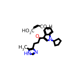 Cc1[nH]cnc1CCC(=O)c1cn(C2CCCC2)c2ccccc12.O=C(O)/C=C\C(=O)O